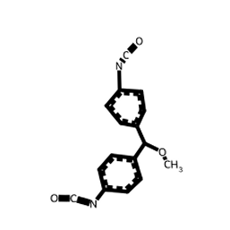 COC(c1ccc(N=C=O)cc1)c1ccc(N=C=O)cc1